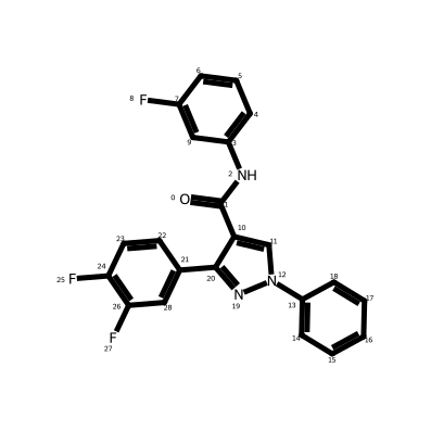 O=C(Nc1cccc(F)c1)c1cn(-c2ccccc2)nc1-c1ccc(F)c(F)c1